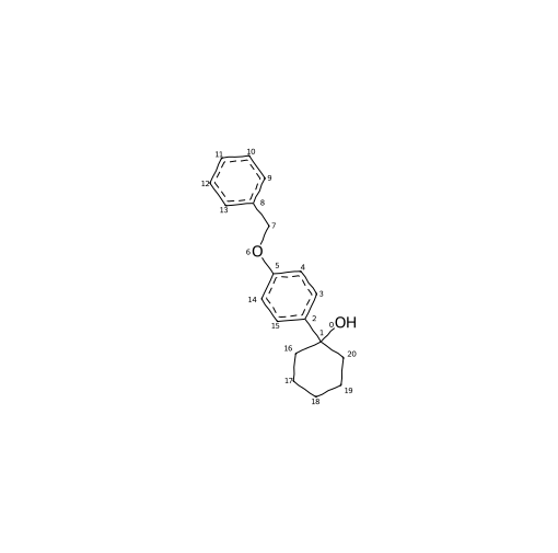 OC1(c2ccc(OCc3ccccc3)cc2)CCCCC1